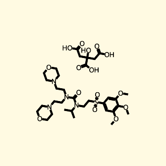 COc1cc(S(=O)(=O)CCN(C(=O)N(CCN2CCOCC2)CCN2CCOCC2)C(C)C)cc(OC)c1OC.O=C(O)CC(O)(CC(=O)O)C(=O)O